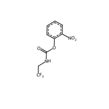 O=C(NCC(F)(F)F)Oc1ccccc1[N+](=O)[O-]